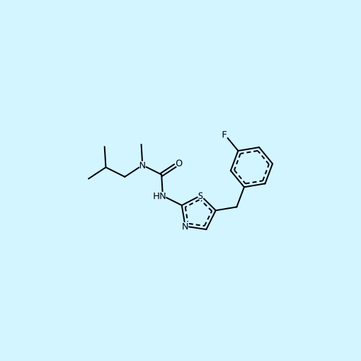 CC(C)CN(C)C(=O)Nc1ncc(Cc2cccc(F)c2)s1